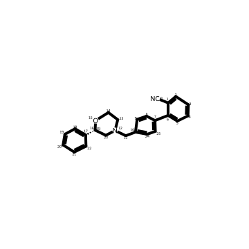 N#Cc1ccccc1-c1ccc(CN2CCO[C@@H](c3ccccc3)C2)cc1